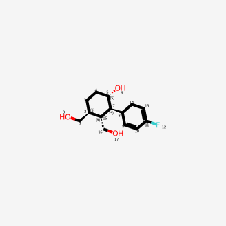 OC[C@H]1CC[C@H](O)[C@@H](C2C=CC(F)=CC2)[C@@H]1CO